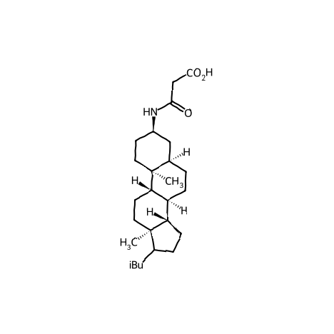 CCC(C)C1CC[C@H]2[C@@H]3CC[C@@H]4C[C@H](NC(=O)CC(=O)O)CC[C@]4(C)[C@H]3CC[C@]12C